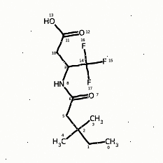 CCC(C)(C)CC(=O)NC(CC(=O)O)C(F)(F)F